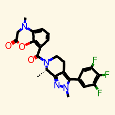 C[C@H]1c2nn(C)c(-c3cc(F)c(F)c(F)c3)c2CCN1C(=O)c1cccc2c1OC(=O)CN2C